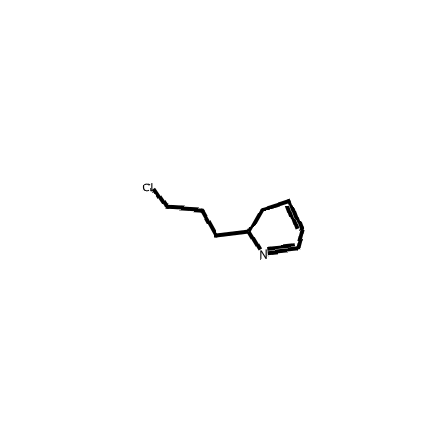 ClCCCC1CC=CC=N1